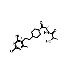 Cc1nc(Cl)nc(N)c1CCC1CCN(C(=O)[C@H](C)NC(=O)[C@@H](C)O)CC1